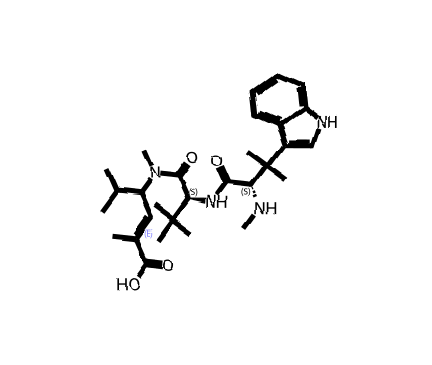 CN[C@H](C(=O)N[C@H](C(=O)N(C)C(/C=C(\C)C(=O)O)C(C)C)C(C)(C)C)C(C)(C)c1c[nH]c2ccccc12